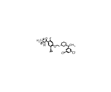 C[C@H](c1cc(Cl)cc(Cl)c1)N1CCC[C@@H](CCOc2cc(F)c(C(=O)NS(C)(=O)=O)cc2C2CC2)C1